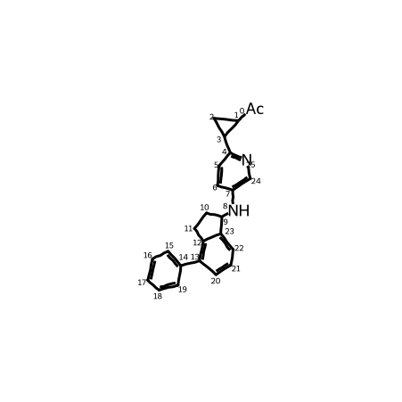 CC(=O)C1CC1c1ccc(NC2CCc3c(-c4ccccc4)cccc32)cn1